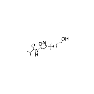 CC(C)C(=O)Nc1cc(C(C)(C)OCCO)no1